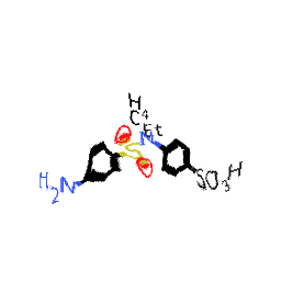 C.CCN(c1ccc(S(=O)(=O)O)cc1)S(=O)(=O)c1ccc(N)cc1